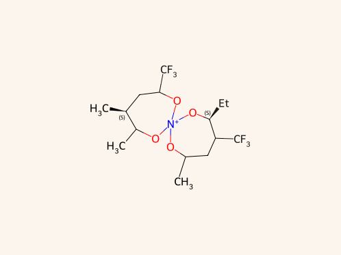 CC[C@@H]1O[N+]2(OC(C)CC1C(F)(F)F)OC(C)[C@@H](C)CC(C(F)(F)F)O2